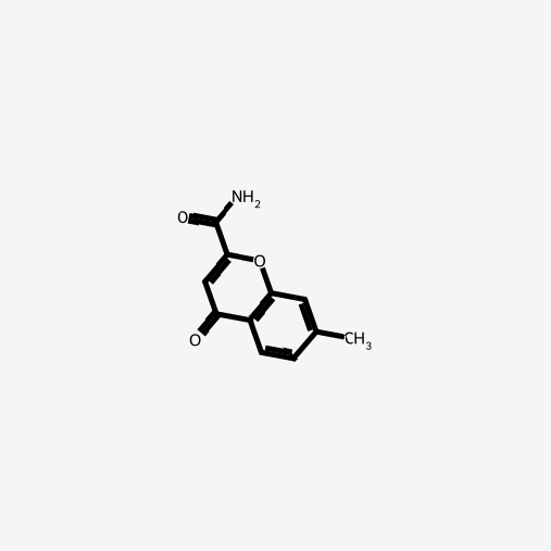 Cc1ccc2c(=O)cc(C(N)=O)oc2c1